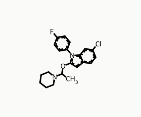 CC(Oc1cc2ccc(Cl)cc2n1-c1ccc(F)cc1)N1CCCCC1